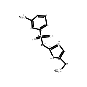 COc1cccc(S(=O)(=O)Nc2ncc(CC(=O)O)s2)c1